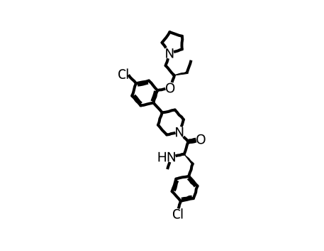 CC[C@H](CN1CCCC1)Oc1cc(Cl)ccc1C1CCN(C(=O)[C@@H](Cc2ccc(Cl)cc2)NC)CC1